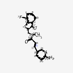 CN(Cc1sc2c(F)cccc2c1Cl)C(=O)/C=C/c1ccc(N)nc1